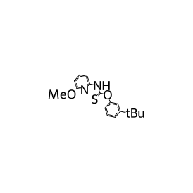 COc1cccc(NC(=S)Oc2cccc(C(C)(C)C)c2)n1